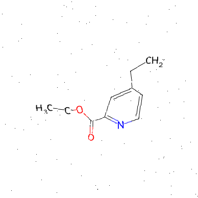 [CH2]Cc1ccnc(C(=O)OCC)c1